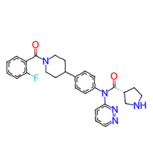 O=C(c1ccccc1F)N1CCC(c2ccc(N(C(=O)[C@@H]3CCNC3)c3cccnn3)cc2)CC1